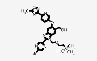 Cc1nc(-c2ccc(Oc3cc4nc(-c5cnc(Br)cn5)n(COCC[Si](C)(C)C)c4cc3CO)cn2)no1